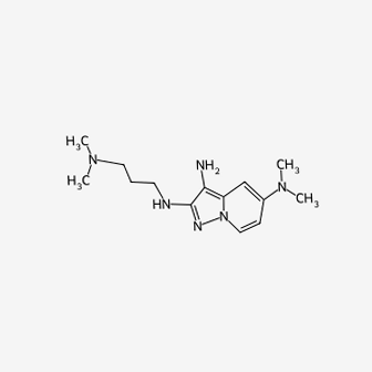 CN(C)CCCNc1nn2ccc(N(C)C)cc2c1N